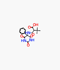 CC(C)(C)C(C(=O)O)C(=O)NC1(c2ccccc2)C(=O)NC(=O)NC1=O